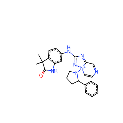 CC1(C)C(=O)Nc2cc(NC3=N[N+]4(N5CCCC5c5ccccc5)C=CN=CC4=N3)ccc21